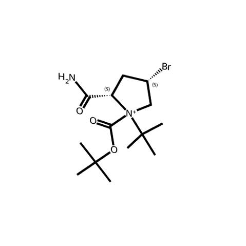 CC(C)(C)OC(=O)[N+]1(C(C)(C)C)C[C@@H](Br)C[C@H]1C(N)=O